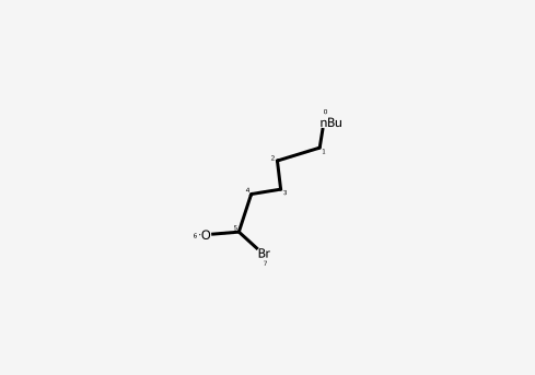 CCCCCCCCC([O])Br